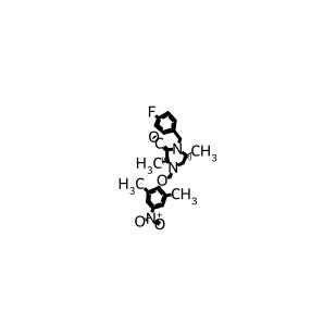 Cc1cc([N+](=O)[O-])cc(C)c1OCN1C[C@@H](C)N(Cc2ccc(F)cc2)C(=C=O)[C@@H]1C